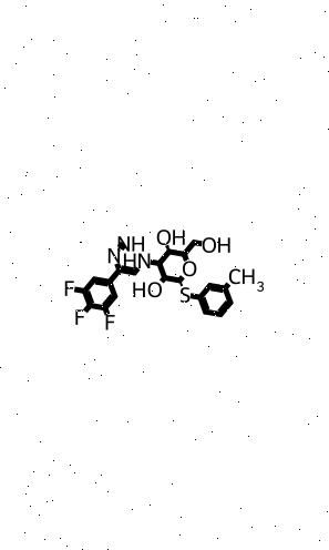 Cc1cccc(S[C@H]2OC(CO)[C@H](O)C(N/C=C(\N=N)c3cc(F)c(F)c(F)c3)C2O)c1